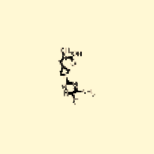 CN(CC1CN(c2nnc(Cl)c(N)n2)C1)C(=O)O